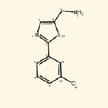 NCc1cnc(-c2cccc(Cl)c2)s1